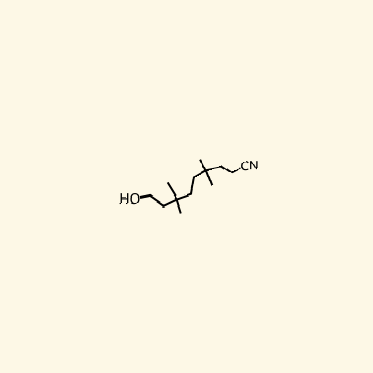 CC(C)(CCO)CCC(C)(C)CCC#N